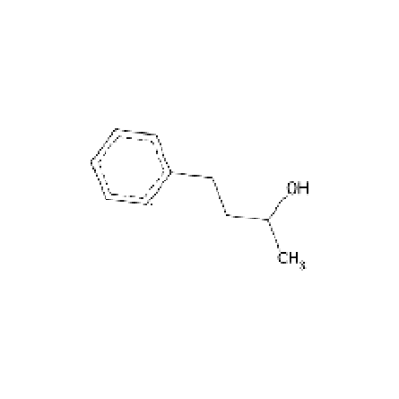 CC(O)CCc1[c]cccc1